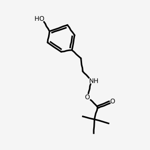 CC(C)(C)C(=O)ONCCc1ccc(O)cc1